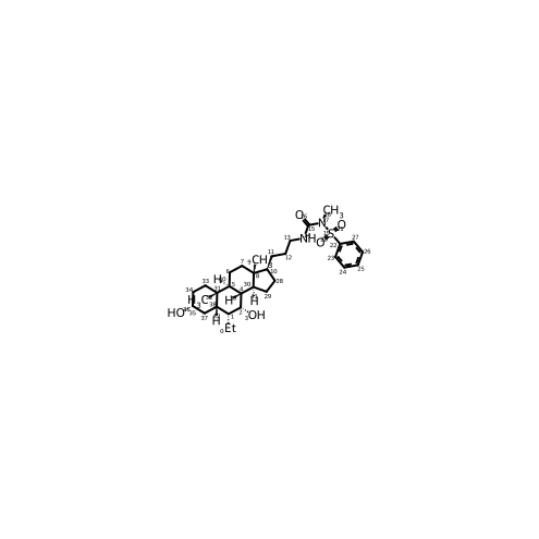 CC[C@H]1[C@@H](O)[C@@H]2[C@H](CC[C@]3(C)[C@@H](CCCNC(=O)N(C)S(=O)(=O)c4ccccc4)CC[C@@H]23)[C@@]2(C)CC[C@@H](O)C[C@@H]12